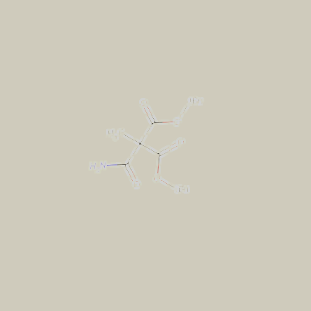 CC(C)(C)OC(=O)C(C)(C(N)=O)C(=O)OC(C)(C)C